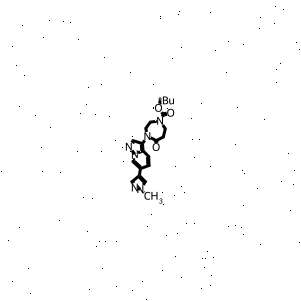 Cn1cc(-c2ccc3c(N4CCN(C(=O)OC(C)(C)C)CCC4=O)cnn3c2)cn1